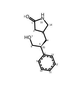 O=C1CC(C[C@H](CO)c2ccccc2)CN1